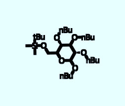 CCCCOC1OC(CO[Si](C)(C)C(C)(C)C)[C@@H](OCCCC)C(OCCCC)[C@@H]1OCCCC